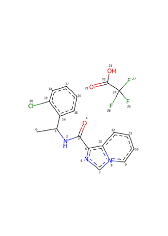 CC(NC(=O)c1ncn2ccccc12)c1ccccc1Cl.O=C(O)C(F)(F)F